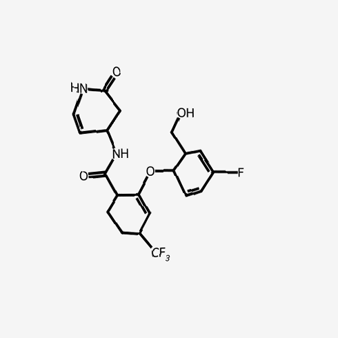 O=C1CC(NC(=O)C2CCC(C(F)(F)F)C=C2OC2C=CC(F)=CC2CO)C=CN1